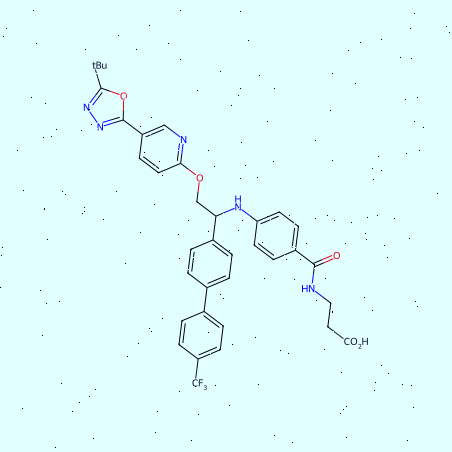 CC(C)(C)c1nnc(-c2ccc(OCC(Nc3ccc(C(=O)NCCC(=O)O)cc3)c3ccc(-c4ccc(C(F)(F)F)cc4)cc3)nc2)o1